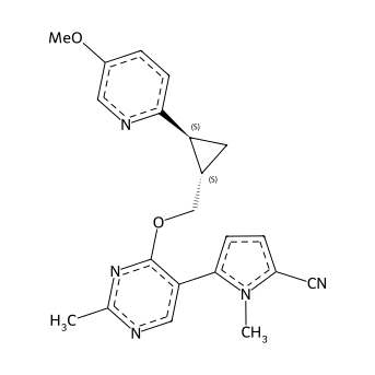 COc1ccc([C@H]2C[C@@H]2COc2nc(C)ncc2-c2ccc(C#N)n2C)nc1